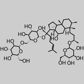 CC(C)=CCC[C@](C)(O[C@@H]1O[C@H](CO[C@@H]2O[C@H](CO)[C@@H](O)[C@H](O)[C@H]2O)[C@@H](O)[C@H](O)[C@H]1O)[C@H]1CC[C@]2(C)[C@@H]1[C@H](O)C[C@@H]1[C@@](C)(CC[C@@H](C)O[C@@H]3O[C@H](CO)[C@@H](O)[C@H](O)[C@H]3O)[C@H](C)CC[C@]12C